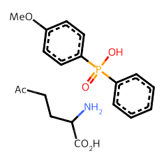 CC(=O)CCC(N)C(=O)O.COc1ccc(P(=O)(O)c2ccccc2)cc1